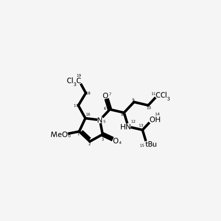 COC1=CC(=O)N(C(=O)C(CCC(Cl)(Cl)Cl)NC(O)C(C)(C)C)C1CCC(Cl)(Cl)Cl